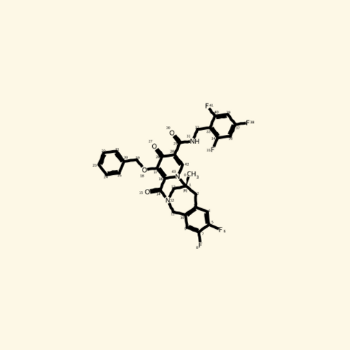 C[C@@]12Cc3cc(F)c(F)cc3CN(C1)C(=O)c1c(OCc3ccccc3)c(=O)c(C(=O)NCc3c(F)cc(F)cc3F)cn12